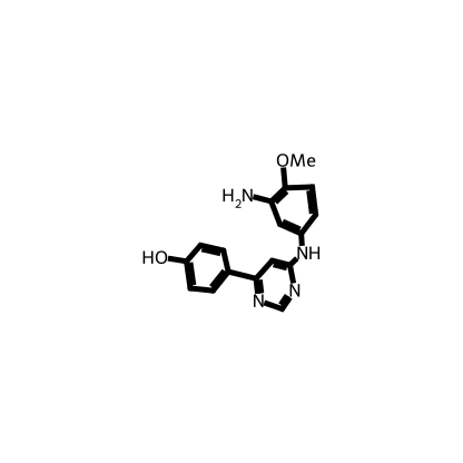 COc1ccc(Nc2cc(-c3ccc(O)cc3)ncn2)cc1N